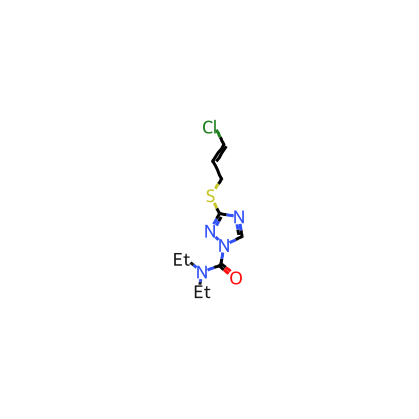 CCN(CC)C(=O)n1cnc(SCC=CCl)n1